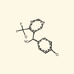 OC(c1ccc(Cl)cc1)c1cncnc1C(F)(F)Cl